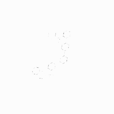 CC1(C)c2cc(-c3cccc(-c4cccc(CN(C5=CCCCC5)c5ccccc5)c4)c3)ccc2C2c3ccccc3C=CC21